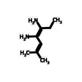 CC/C(N)=C(/N)C=C(C)C